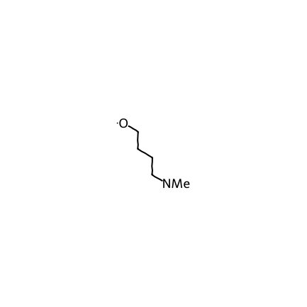 CNCCCC[O]